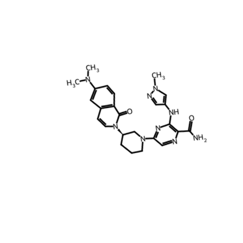 CN(C)c1ccc2c(=O)n([C@@H]3CCCN(c4cnc(C(N)=O)c(Nc5cnn(C)c5)n4)C3)ccc2c1